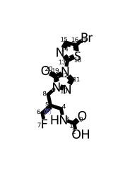 O=C(O)NC/C(=C\F)Cn1ncn(-c2ncc(Br)s2)c1=O